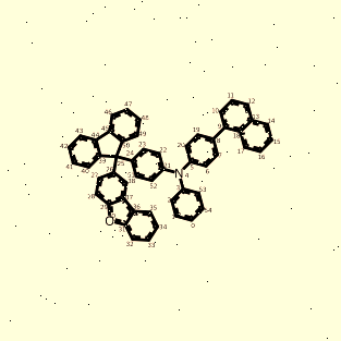 c1ccc(N(c2ccc(-c3cccc4ccccc34)cc2)c2ccc(C3(c4ccc5oc6ccccc6c5c4)c4ccccc4-c4ccccc43)cc2)cc1